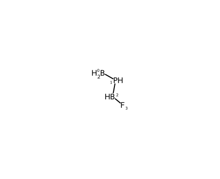 BPBF